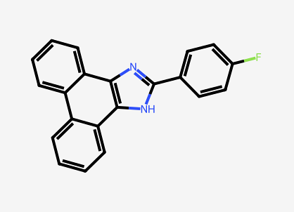 Fc1ccc(-c2nc3c4ccccc4c4ccccc4c3[nH]2)cc1